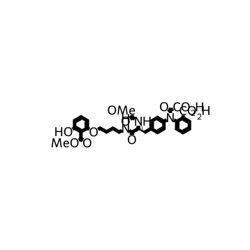 COC(=O)N[C@@H](Cc1ccc(N(C(=O)C(=O)O)c2ccccc2C(=O)O)cc1)C(=O)NCCCCOc1cccc(O)c1C(=O)OC